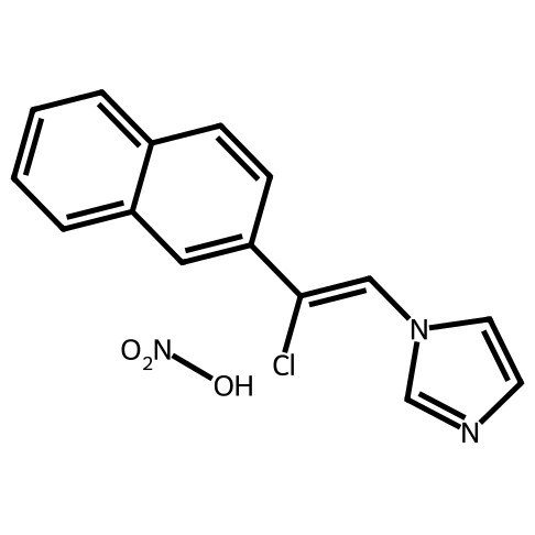 Cl/C(=C\n1ccnc1)c1ccc2ccccc2c1.O=[N+]([O-])O